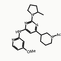 COc1ccnc(Nc2cc(C3CCCN(C(C)=O)C3)nc(N3CCCC3C)n2)c1